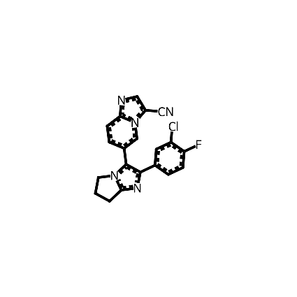 N#Cc1cnc2ccc(-c3c(-c4ccc(F)c(Cl)c4)nc4n3CCC4)cn12